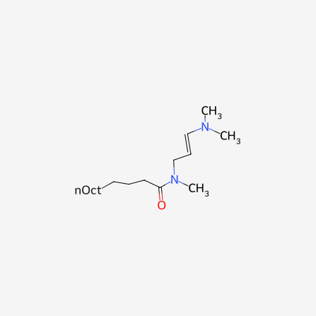 CCCCCCCCCCCC(=O)N(C)CC=CN(C)C